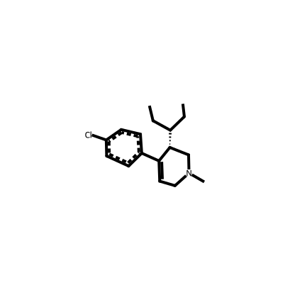 CCC(CC)[C@@H]1CN(C)CC=C1c1ccc(Cl)cc1